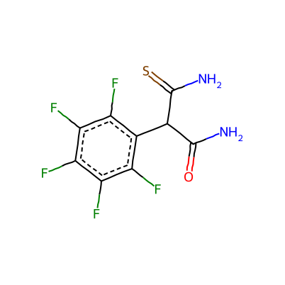 NC(=O)C(C(N)=S)c1c(F)c(F)c(F)c(F)c1F